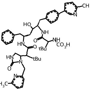 Cc1ccc(-c2ccc(CC(NC(=O)C(NC(=O)O)C(C)(C)C)C(O)CC(Cc3ccccc3)NC(=O)C(C3CNC(=O)N3Cc3cccc(C)n3)C(C)(C)C)cc2)cn1